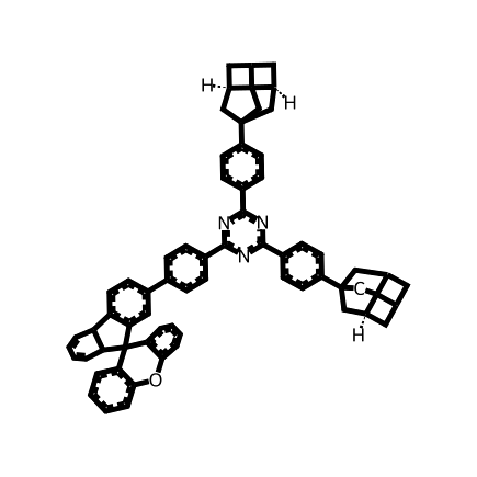 C1=CC2c3ccc(-c4ccc(-c5nc(-c6ccc(C78CC9CC%10C[C@@H](C7)C%109C8)cc6)nc(-c6ccc(C78C[C@H]9CC%10C[C@@H](C7)C%109C8)cc6)n5)cc4)cc3C3(c4ccccc4Oc4ccccc43)C2C=C1